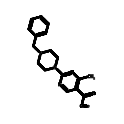 COC(=O)c1cnc(N2CCN(Cc3ccccc3)CC2)nc1C